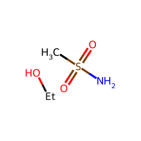 CCO.CS(N)(=O)=O